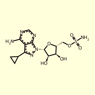 Nc1ncnc2c1c(C1CC1)nn2[C@@H]1O[C@H](COS(N)(=O)=O)[C@@H](O)[C@H]1O